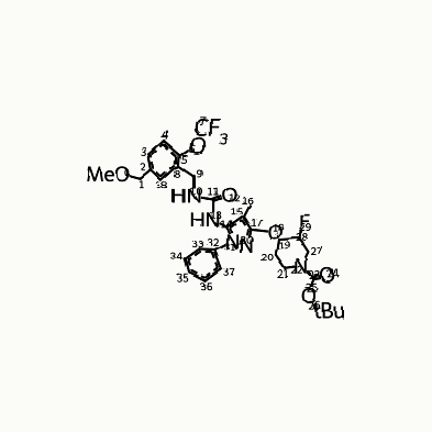 COCc1ccc(OC(F)(F)F)c(CNC(=O)Nc2c(C)c(O[C@H]3CCN(C(=O)OC(C)(C)C)C[C@@H]3F)nn2-c2ccccc2)c1